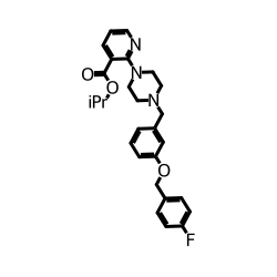 CC(C)OC(=O)c1cccnc1N1CCN(Cc2cccc(OCc3ccc(F)cc3)c2)CC1